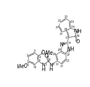 COc1ccc(OC)c(NC(=O)Nc2ccc3[nH]c(-c4c5cccccc-5[nH]c4=O)nc3c2)c1